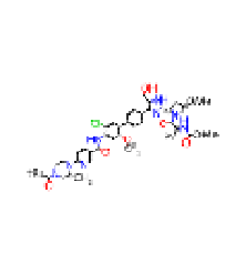 COC(=O)N[C@H](C(=O)N1C[C@@H](OC)C[C@H]1c1nc(-c2ccc(-c3cc(Cl)c(NC(=O)c4ccc(N5CCN(C(=O)C(C)(C)C)C[C@H]5C)nc4)cc3OC(F)(F)F)cc2)c(CO)[nH]1)C(C)C